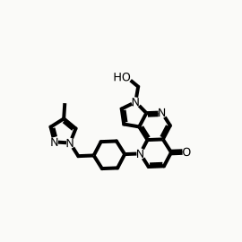 Cc1cnn(CC2CCC(n3ccc(=O)c4cnc5c(ccn5CO)c43)CC2)c1